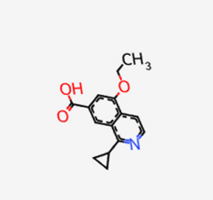 CCOc1cc(C(=O)O)cc2c(C3CC3)nccc12